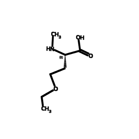 CCOCC[C@H](NC)C(=O)O